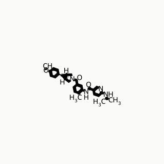 COc1ccc([C@H]2[C@@H]3CN(C(=O)c4ccc(C)c(NC(=O)c5ccc(NC(C)C)nc5)c4)C[C@@H]32)cc1